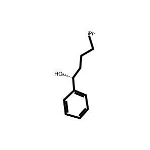 C[C](C)CCC[C@@H](O)c1ccccc1